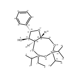 CC[Si]1(C(C)C)O[C@H]2[C@@H](O)[C@H](c3ccccc3)O[C@@H]2CO[Si](C(C)C)(C(C)C)O1